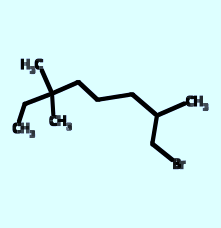 CCC(C)(C)CCCC(C)CBr